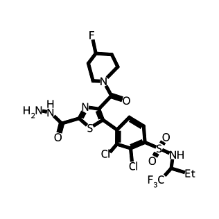 CCC(NS(=O)(=O)c1ccc(-c2sc(C(=O)NN)nc2C(=O)N2CCC(F)CC2)c(Cl)c1Cl)C(F)(F)F